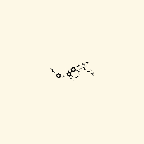 CCCCOc1ccc(NC(=O)Oc2cc(C)c3c(c2)[C@@H](C(=O)O)NC(=O)[C@H](C)NC(=O)[C@H](NC(=O)[C@@H](C)NC(=O)[C@H](CC(N)=O)NC(=O)[C@@H](C)NC(=O)[C@@H](CC(C)C)NC)c2ccc(O)c-3c2)cc1